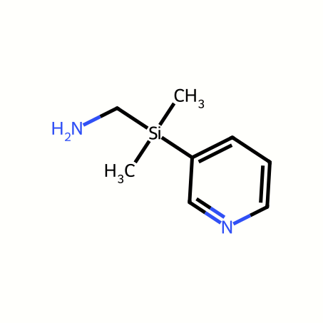 C[Si](C)(CN)c1cccnc1